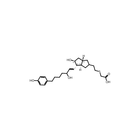 O=C(O)CSCCC1C[C@H]2C[C@H](O)[C@@H](C=CC(O)CCCCc3ccc(O)cc3)[C@@H]2C1